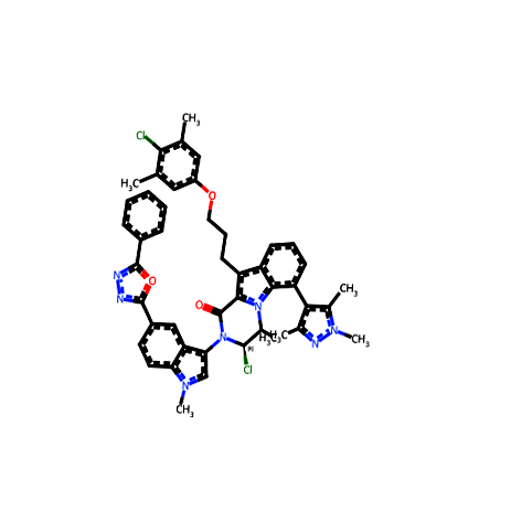 Cc1cc(OCCCc2c3n(c4c(-c5c(C)nn(C)c5C)cccc24)C(C)[C@@H](Cl)N(c2cn(C)c4ccc(-c5nnc(-c6ccccc6)o5)cc24)C3=O)cc(C)c1Cl